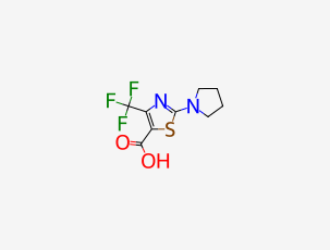 O=C(O)c1sc(N2CCCC2)nc1C(F)(F)F